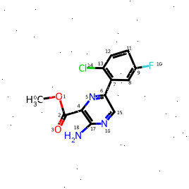 COC(=O)c1nc(-c2cc(F)ccc2Cl)cnc1N